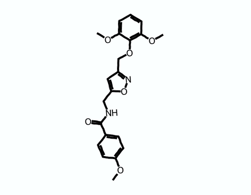 COc1ccc(C(=O)NCc2cc(COc3c(OC)cccc3OC)no2)cc1